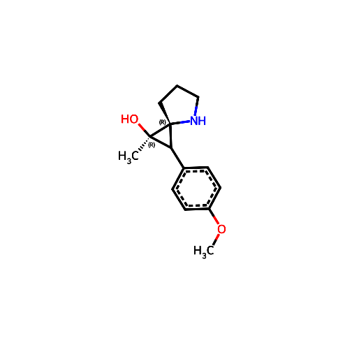 COc1ccc(C2[C@@](C)(O)[C@@]23CCCN3)cc1